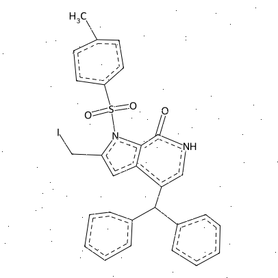 Cc1ccc(S(=O)(=O)n2c(CI)cc3c(C(c4ccccc4)c4ccccc4)c[nH]c(=O)c32)cc1